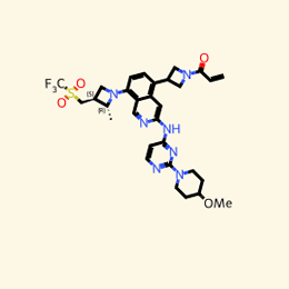 C=CC(=O)N1CC(c2ccc(N3C[C@H](CS(=O)(=O)C(F)(F)F)[C@H]3C)c3cnc(Nc4ccnc(N5CCC(OC)CC5)n4)cc23)C1